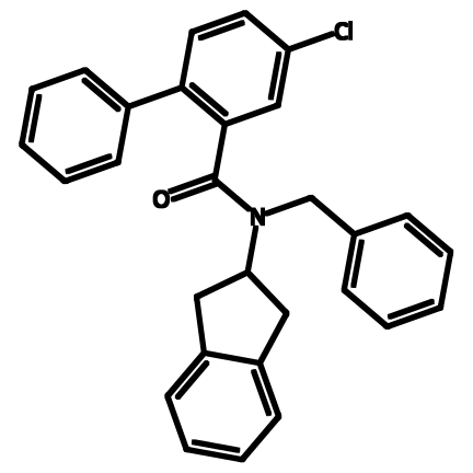 O=C(c1cc(Cl)ccc1-c1ccccc1)N(Cc1ccccc1)C1Cc2ccccc2C1